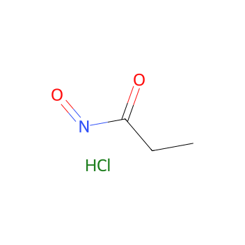 CCC(=O)N=O.Cl